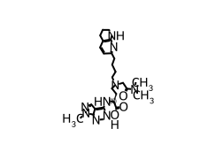 CN(C)C(=O)CN(CCCCc1ccc2c(n1)NCCC2)CC[C@H](Nc1ncnc2c1cnn2C)C(=O)O